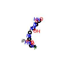 CC(C)Oc1cc2nn([C@H]3CC[C@H](CN4CCN(c5ccc(C6CCC(=O)NC6=O)cn5)CC(O)C4)CC3)cc2cc1C(=O)Nc1cccn([C@H]2C[C@H]2F)c1=O